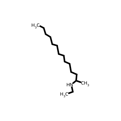 CCCCCCCCCCCCC(C)NCC